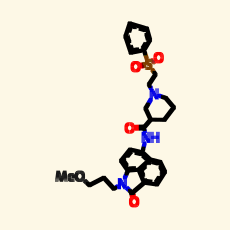 COCCCN1C(=O)c2cccc3c(NC(=O)C4CCCN(CCS(=O)(=O)c5ccccc5)C4)ccc1c23